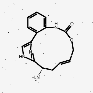 N[C@H]1C/C=C/COC(=O)Nc2ccccc2-c2c[nH]c1n2